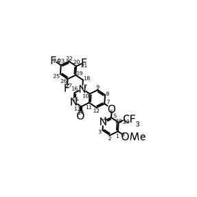 COc1ccnc(Oc2ccc3c(c2)c(=O)ncn3Cc2c(F)cc(F)cc2F)c1C(F)(F)F